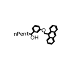 CCCCCC(O)c1cccc(OCc2c3ccccc3cc3ccccc23)c1